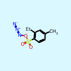 CCc1cc(C)ccc1S(=O)(=O)ON=[N+]=[N-]